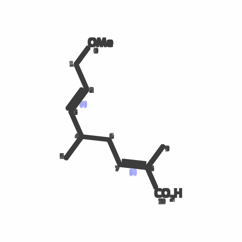 COC/C=C/C(C)C/C=C(\C)C(=O)O